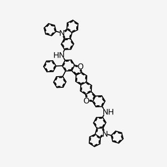 c1ccc(-c2c(Nc3ccc4c5ccccc5n(-c5ccccc5)c4c3)cc3oc4cc5cc6c(cc5cc4c3c2-c2ccccc2)oc2cc(Nc3ccc4c5ccccc5n(-c5ccccc5)c4c3)ccc26)cc1